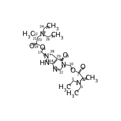 CCN(CC)[C@@H](C)C(=O)OCn1cnc2[nH][n+](COC(=O)[C@H](C)N(CC)CC)cc2c1=O